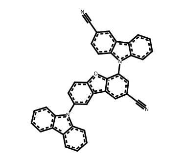 N#Cc1cc(-n2c3ccccc3c3cc(C#N)ccc32)c2oc3ccc(-n4c5ccccc5c5ccccc54)cc3c2c1